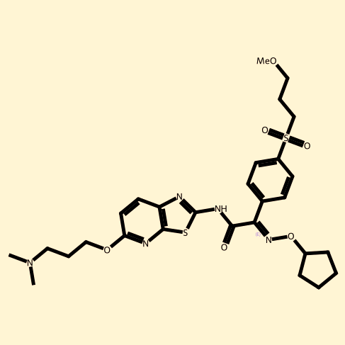 COCCCS(=O)(=O)c1ccc(/C(=N\OC2CCCC2)C(=O)Nc2nc3ccc(OCCCN(C)C)nc3s2)cc1